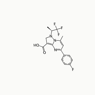 CC1=CC(c2ccc(F)cc2)=NC2=C(C(=O)O)CN([C@@H](C)C(F)(F)F)N12